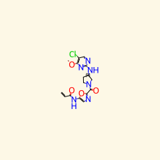 C=CC(=O)Nc1cnc(C(=O)N2CC[C@@H](Nc3ncc(Cl)c(OC)n3)C2)o1